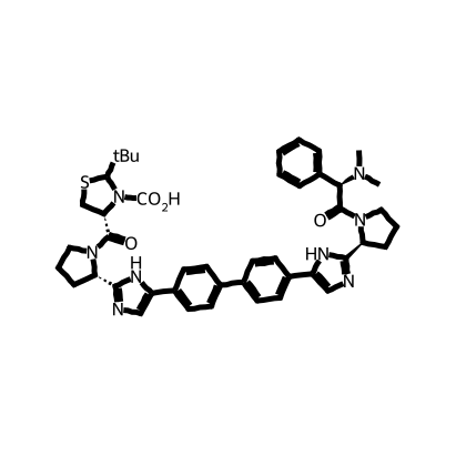 CN(C)[C@@H](C(=O)N1CCC[C@H]1c1ncc(-c2ccc(-c3ccc(-c4cnc([C@@H]5CCCN5C(=O)[C@@H]5CSC(C(C)(C)C)N5C(=O)O)[nH]4)cc3)cc2)[nH]1)c1ccccc1